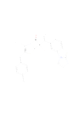 CC(=O)OC(c1ccc2sc3nccn3c2c1)C1(Br)C(=O)N2C(C(=O)O)=C(Cc3ccc([N+](=O)[O-])cc3)SC21